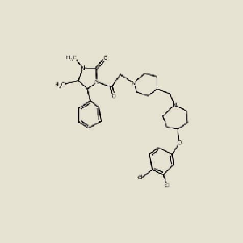 CC1C(c2ccccc2)N(C(=O)CN2CCC(CN3CCC(Oc4ccc(Cl)c(Cl)c4)CC3)CC2)C(=O)N1C